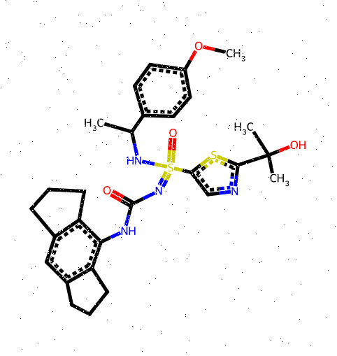 COc1ccc(C(C)NS(=O)(=NC(=O)Nc2c3c(cc4c2CCC4)CCC3)c2cnc(C(C)(C)O)s2)cc1